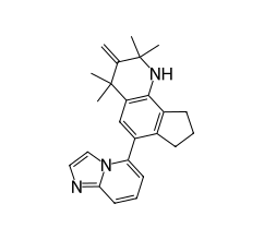 C=C1C(C)(C)Nc2c(cc(-c3cccc4nccn34)c3c2CCC3)C1(C)C